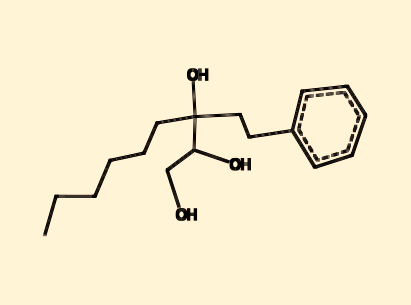 CCCCCCC(O)(CCc1ccccc1)C(O)CO